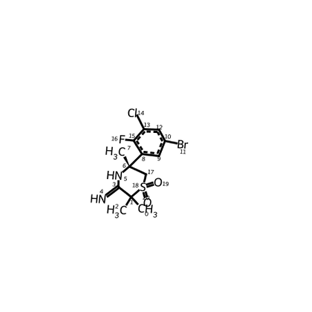 CC1(C)C(=N)N[C@](C)(c2cc(Br)cc(Cl)c2F)CS1(=O)=O